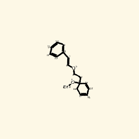 CCOC1(CCOC=Cc2ccccc2)C=CC=CC1